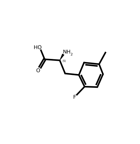 Cc1ccc(F)c(C[C@H](N)C(=O)O)c1